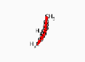 CCCc1ccc(CCC(=O)OC2CCC(C(=O)Oc3ccc(C(=O)Oc4ccc5c(c4)C(C)c4cc(OC(=O)c6ccc(OC(=O)C7CCC(OC(=O)CCc8ccc(CCC)cc8)CC7)cc6F)ccc4-5)c(F)c3)CC2)cc1